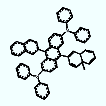 CC12C=CC=CC1C=C(c1c3cc(N(c4ccccc4)c4ccccc4)ccc3c(-c3ccc4ccccc4c3)c3cc(N(c4ccccc4)c4ccccc4)ccc13)C=C2